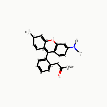 CCN(CC)c1ccc2c(c1)OC1=CC(C)C=CC1=C2c1ccccc1CC(=O)OC